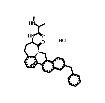 CNC(C)C(=O)NC1CCc2ccccc2N(Cc2c(OC)ccc3cc(Cc4ccccc4)ccc23)C1=O.Cl